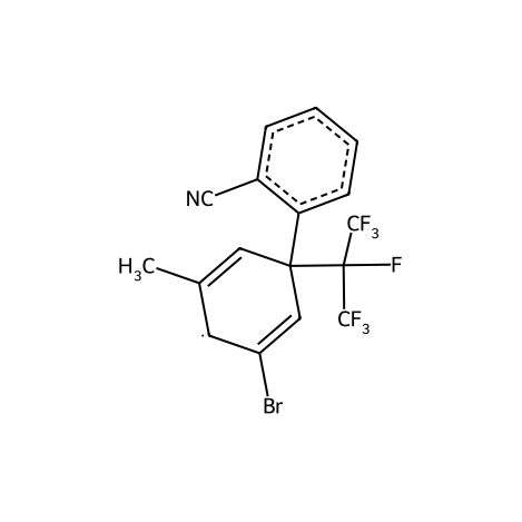 CC1=CC(c2ccccc2C#N)(C(F)(C(F)(F)F)C(F)(F)F)C=C(Br)[CH]1